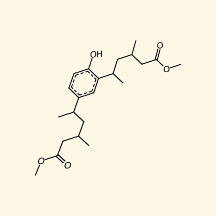 COC(=O)CC(C)CC(C)c1ccc(O)c(C(C)CC(C)CC(=O)OC)c1